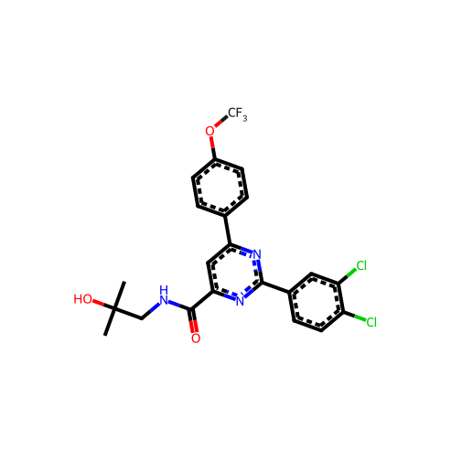 CC(C)(O)CNC(=O)c1cc(-c2ccc(OC(F)(F)F)cc2)nc(-c2ccc(Cl)c(Cl)c2)n1